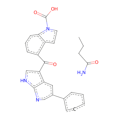 CCCC(N)=O.O=C(c1c[nH]c2ncc(-c3ccccc3)cc12)c1cccc2c1ccn2C(=O)O